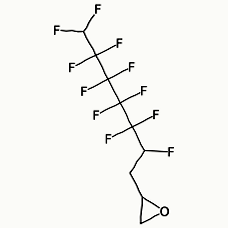 FC(F)C(F)(F)C(F)(F)C(F)(F)C(F)(F)C(F)CC1CO1